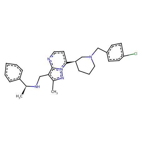 Cc1nn2c([C@@H]3CCCN(Cc4ccc(Cl)cc4)C3)ccnc2c1CN[C@@H](C)c1ccccc1